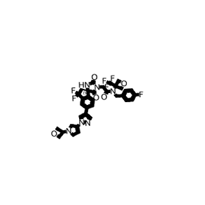 O=C1N[C@]2(CC(F)(F)c3cc(-c4cnn(C5=CCN(C6COC6)C5)c4)ccc32)C(=O)N1CC(=O)N(Cc1ccc(F)cc1)C1(C(F)(F)F)COC1